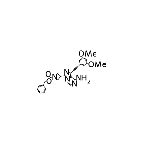 COc1cc(C#Cc2nc(C3CN(C(=O)OCc4ccccc4)C3)n3ccnc(N)c23)cc(OC)c1